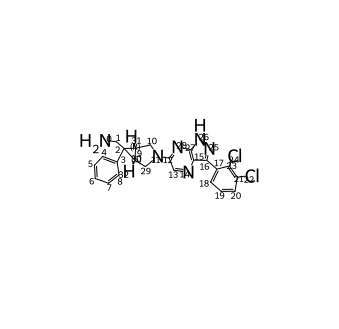 NCC1(c2ccccc2)[C@@H]2CN(c3cnc4c(-c5cccc(Cl)c5Cl)n[nH]c4n3)C[C@@H]21